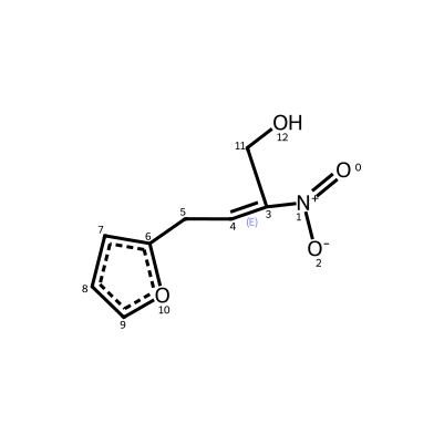 O=[N+]([O-])/C(=C/Cc1ccco1)CO